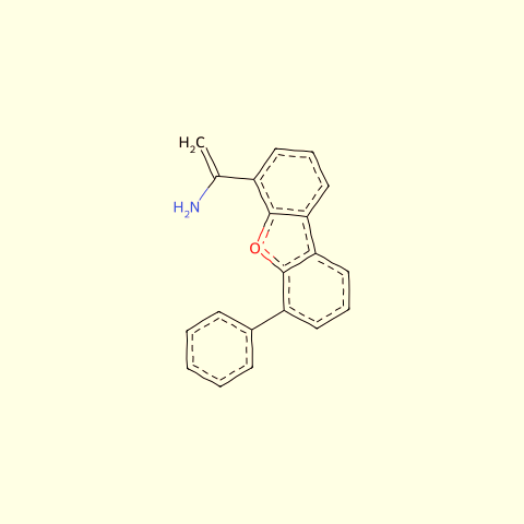 C=C(N)c1cccc2c1oc1c(-c3ccccc3)cccc12